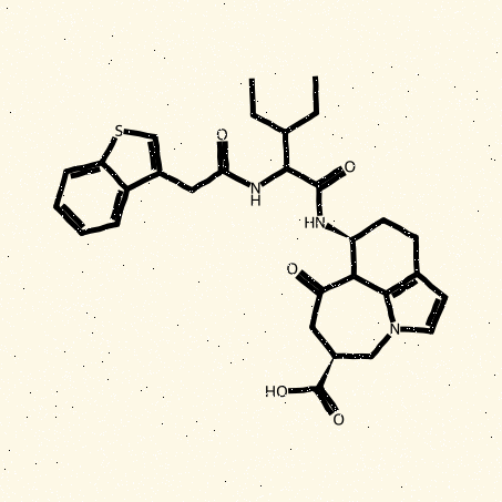 CCC(CC)C(NC(=O)Cc1csc2ccccc12)C(=O)N[C@H]1CCc2ccn3c2C1C(=O)C[C@H](C(=O)O)C3